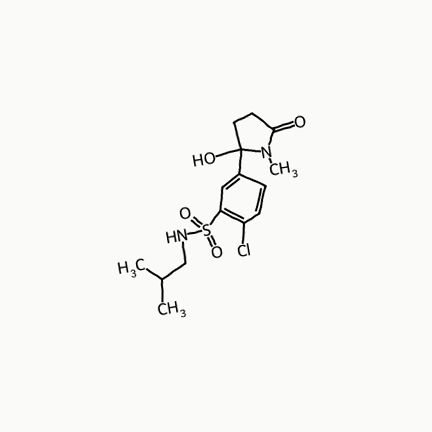 CC(C)CNS(=O)(=O)c1cc(C2(O)CCC(=O)N2C)ccc1Cl